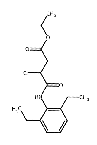 CCOC(=O)CC(Cl)C(=O)Nc1c(CC)cccc1CC